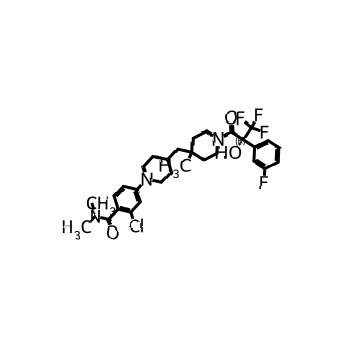 CN(C)C(=O)c1ccc(N2CCC(CC3(C)CCN(C(=O)[C@](O)(c4cccc(F)c4)C(F)(F)F)CC3)CC2)cc1Cl